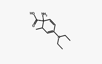 CCN(CC)C1=CC(C)C(N)(C(=O)O)C=C1